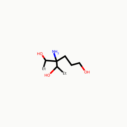 CCC(O)C(N)(CCCO)C(O)CC